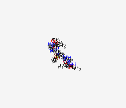 COC(=O)N[C@H](C(=O)N1CCC[C@H]1c1ncc(-c2ccc3c4ccc(-c5cnc([C@@H]6CCCN6C(=O)[C@@H](NC(=O)OC)C(C)C)[nH]5)cc4n(S(=O)(=O)c4ccccc4)c3c2)[nH]1)C(C)C